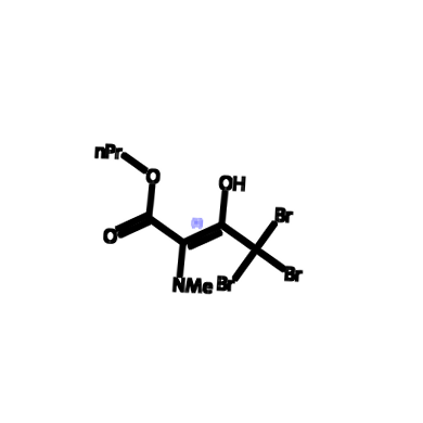 [CH2-][NH2+]/C(C(=O)OCCC)=C(/O)C(Br)(Br)Br